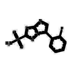 NS(=O)(=O)c1nn2c(-c3ccccc3F)cnc2s1